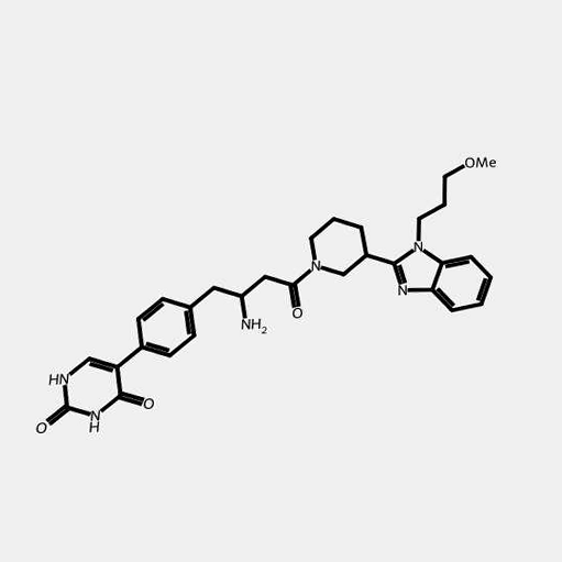 COCCCn1c(C2CCCN(C(=O)CC(N)Cc3ccc(-c4c[nH]c(=O)[nH]c4=O)cc3)C2)nc2ccccc21